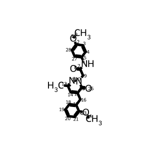 COc1ccc(NC(=O)Cn2nc(C)cc(Cc3ccccc3OC)c2=O)cc1